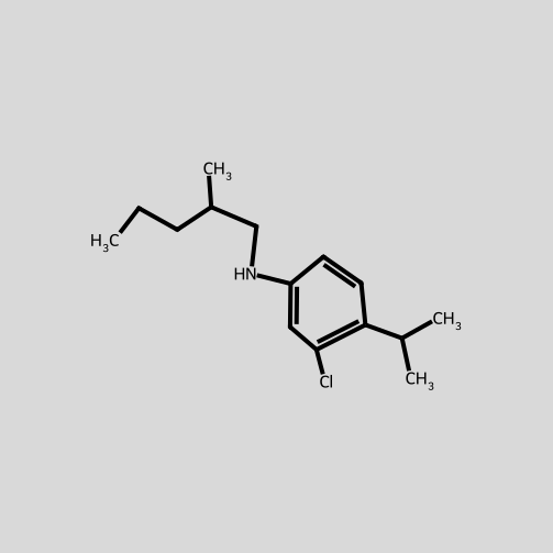 CCCC(C)CNc1ccc(C(C)C)c(Cl)c1